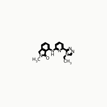 CCn1cnnc1-c1cccc(Nc2cccc3c2C(=O)N(C)C3)n1